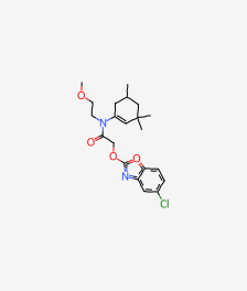 COCCN(C(=O)COc1nc2cc(Cl)ccc2o1)C1=CC(C)(C)CC(C)C1